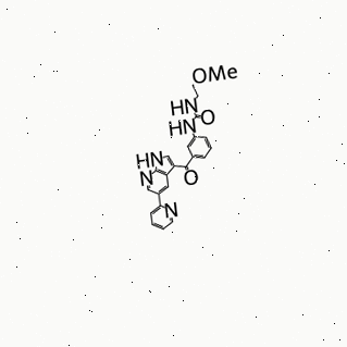 COCCNC(=O)Nc1cccc(C(=O)c2c[nH]c3ncc(-c4ccccn4)cc23)c1